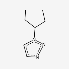 CCC(CC)n1ccnn1